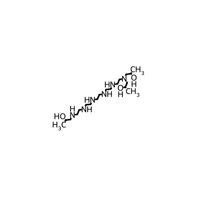 CC(O)CNCCNCCNCCNCCNCCN(CC(C)O)CC(C)O